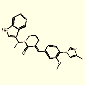 COc1cc(/C=C2\CCCN([C@@H](C)c3c[nH]c4ccccc34)C2=O)ccc1-n1cnc(C)c1